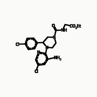 CCOC(=O)CNC(=O)N1CCN(c2ncc(Cl)cc2N)C(c2ccc(Cl)cc2)C1